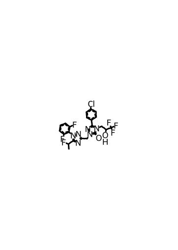 CC(F)c1nc(Cn2nc(-c3ccc(Cl)cc3)n(CC(O)C(F)(F)F)c2=O)nn1-c1c(F)cccc1F